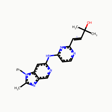 Cc1nc2cnc(Nc3ccnc(/C=C/C(C)(C)O)n3)cc2n1C(C)C